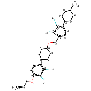 C=CCOc1ccc(C2CCC(OCc3ccc(C4CCC(C)CC4)c(F)c3F)CC2)c(F)c1F